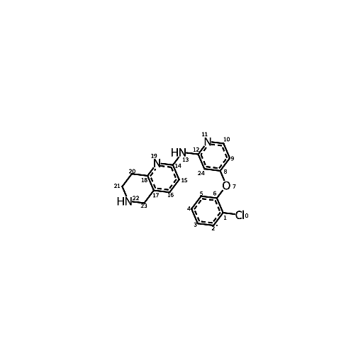 Clc1[c]cccc1Oc1ccnc(Nc2ccc3c(n2)CCNC3)c1